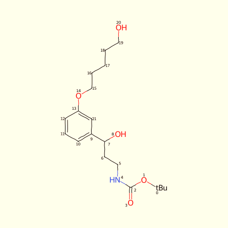 CC(C)(C)OC(=O)NCCC(O)c1cccc(OCCCCCO)c1